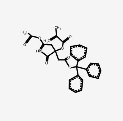 C=C(C)C(=O)OC(CC(=O)OC(C)=O)(CC(=O)OC(c1ccccc1)(c1ccccc1)c1ccccc1)C(=O)O